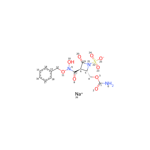 NC(=O)OC[C@@H]1[C@@H](C(=O)N(O)OCc2ccccc2)C(=O)N1S(=O)(=O)[O-].[Na+]